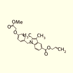 C=CCOC(=O)c1ccc2c(c1)c(C)c(C)n2Cc1ccc(OCC(=O)OC)cc1